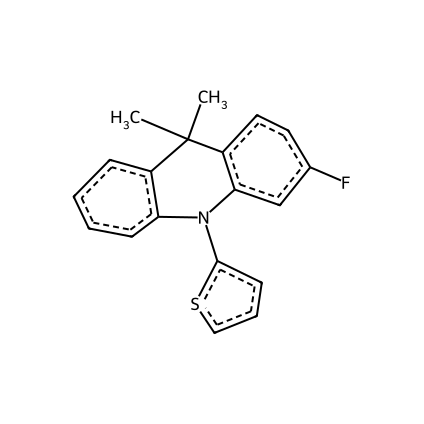 CC1(C)c2ccccc2N(c2cccs2)c2cc(F)ccc21